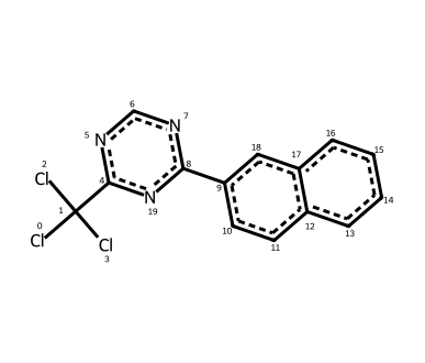 ClC(Cl)(Cl)c1ncnc(-c2ccc3ccccc3c2)n1